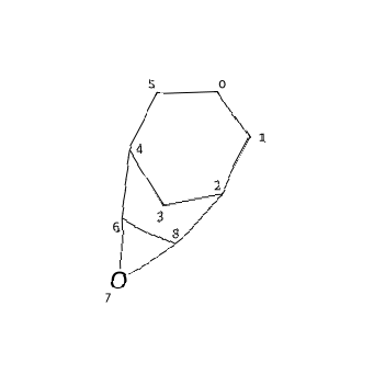 C1CC2CC(C1)C1OC21